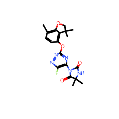 Cc1ccc(Oc2nnc(F)c(N3C(=O)NC(C)(C)C3=O)n2)c2c1OCC2(C)C